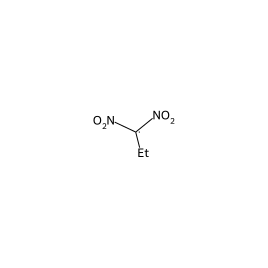 CC[C]([N+](=O)[O-])[N+](=O)[O-]